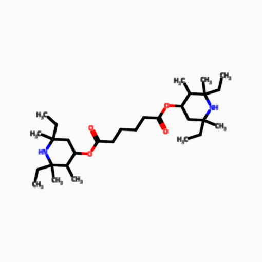 CCC1(C)CC(OC(=O)CCCCC(=O)OC2CC(C)(CC)NC(C)(CC)C2C)C(C)C(C)(CC)N1